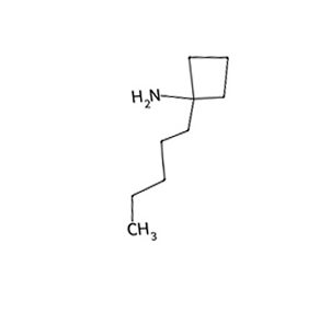 CCCCCC1(N)CCC1